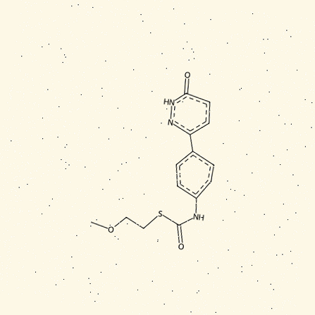 COCCSC(=O)Nc1ccc(-c2ccc(=O)[nH]n2)cc1